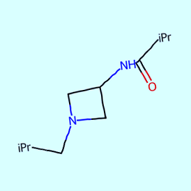 CC(C)CN1CC(NC(=O)C(C)C)C1